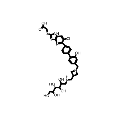 O=C(O)CSc1nc2nc(-c3ccc(-c4ccc(CN5CC(CNCC(O)C(O)[C@@H](O)C(O)CO)C5)cc4O)cc3)c(Cl)cc2[nH]1